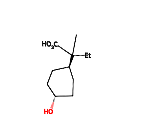 CCC(C)(C(=O)O)[C@H]1CC[C@H](O)CC1